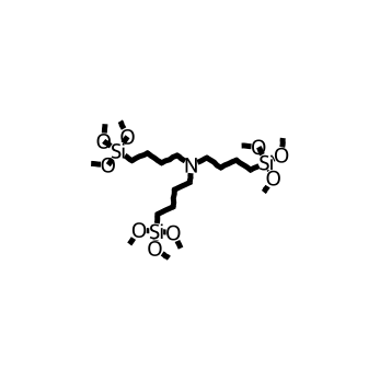 CO[Si](CCCCN(CCCC[Si](OC)(OC)OC)CCCC[Si](OC)(OC)OC)(OC)OC